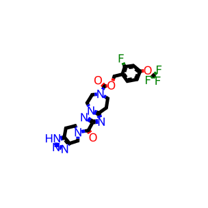 O=C(OCc1ccc(OC(F)(F)F)cc1F)N1CCc2nc(C(=O)N3CCc4[nH]nnc4C3)nn2CC1